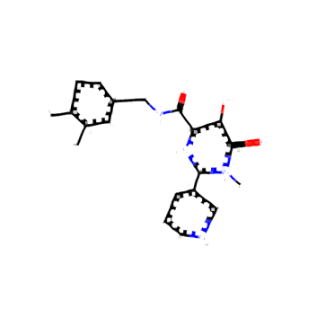 Cc1ccc(CNC(=O)c2nc(-c3cccnc3)n(C)c(=O)c2O)cc1C